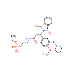 CCOP(=O)(O)CCCNC(=O)CC(c1ccc(OC)c(OC2CCCC2)c1)N1C(=O)c2ccccc2C1=O